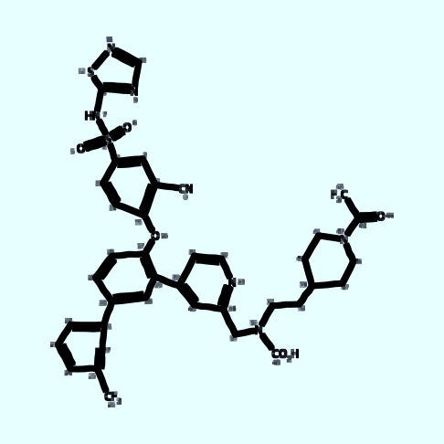 N#Cc1cc(S(=O)(=O)Nc2ncns2)ccc1Oc1ccc(-c2cccc(C(F)(F)F)c2)cc1-c1ccnc(CN(CCC2CCN(C(=O)C(F)(F)F)CC2)C(=O)O)c1